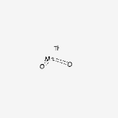 [O]=[Mn]=[O].[Tl]